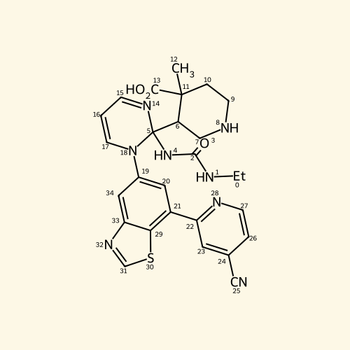 CCNC(=O)NC1(C2CNCCC2(C)C(=O)O)N=CC=CN1c1cc(-c2cc(C#N)ccn2)c2scnc2c1